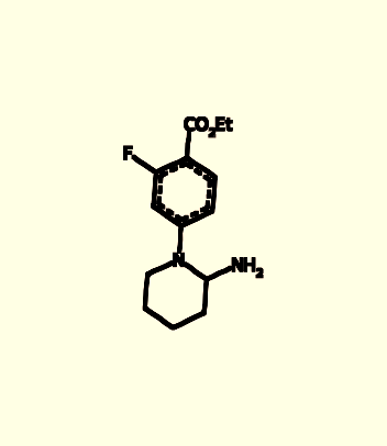 CCOC(=O)c1ccc(N2CCCCC2N)cc1F